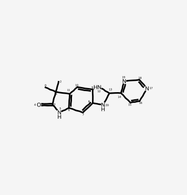 CC1(C)C(=O)Nc2cc3c(cc21)NC(c1ccncn1)N3